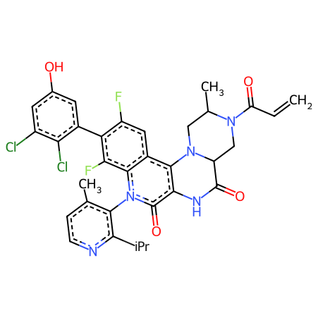 C=CC(=O)N1CC2C(=O)Nc3c(c4cc(F)c(-c5cc(O)cc(Cl)c5Cl)c(F)c4n(-c4c(C)ccnc4C(C)C)c3=O)N2CC1C